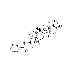 CN1C(=O)CC[C@]2(C)[C@H]3CC[C@]4(C)[C@@H](C(=S)NC(=O)c5ccccc5)CC[C@H]4[C@@H]3CC[C@@H]12